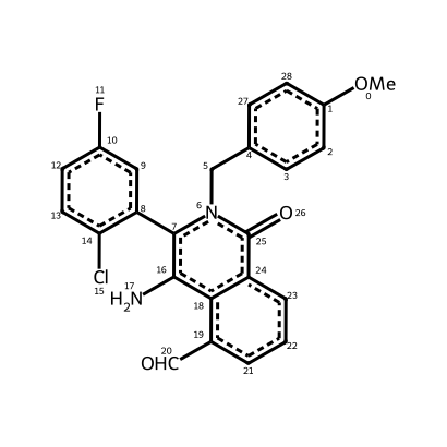 COc1ccc(Cn2c(-c3cc(F)ccc3Cl)c(N)c3c(C=O)cccc3c2=O)cc1